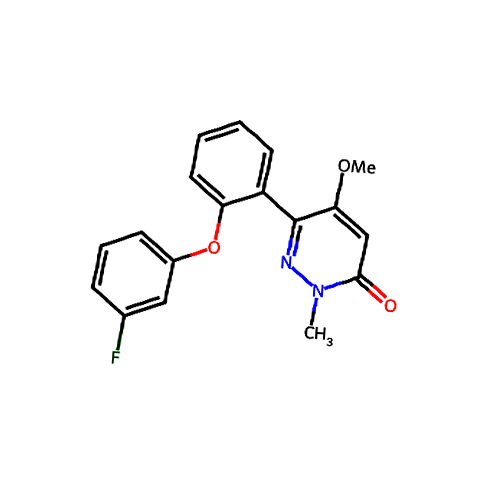 COc1cc(=O)n(C)nc1-c1ccccc1Oc1cccc(F)c1